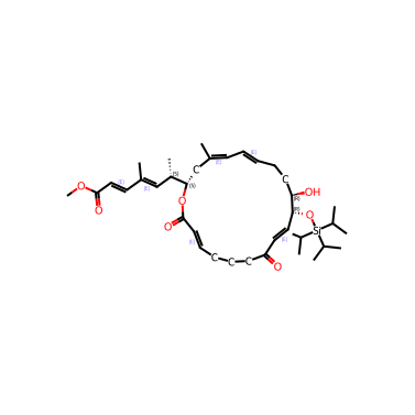 COC(=O)/C=C/C(C)=C/[C@H](C)[C@@H]1C/C(C)=C/C=C/CC[C@@H](O)[C@H](O[Si](C(C)C)(C(C)C)C(C)C)/C=C/C(=O)CCC/C=C/C(=O)O1